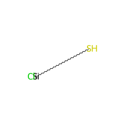 C[Si](C)(Cl)CCCCCCCCCCCCCCCCCCCCCCCCCCCCCCCCCCCS